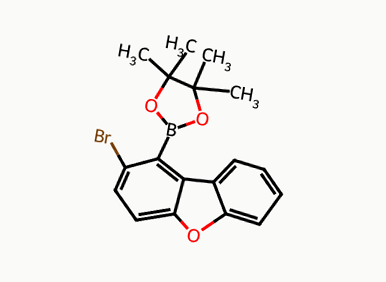 CC1(C)OB(c2c(Br)ccc3oc4ccccc4c23)OC1(C)C